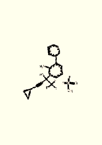 CS(=O)(=O)O.Nc1c(-c2ccccc2)cccc1C(O)(C#CC1CC1)C(F)(F)F